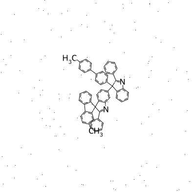 Cc1ccc(-c2ccc(C3(c4ccc5c(c4)N=C(c4ccccc4)C54c5ccccc5-c5ccc(C)cc54)C(c4ccccc4)=Nc4ccccc43)cc2)cc1